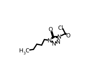 CCCCCn1nnn(C(=O)Cl)c1=O